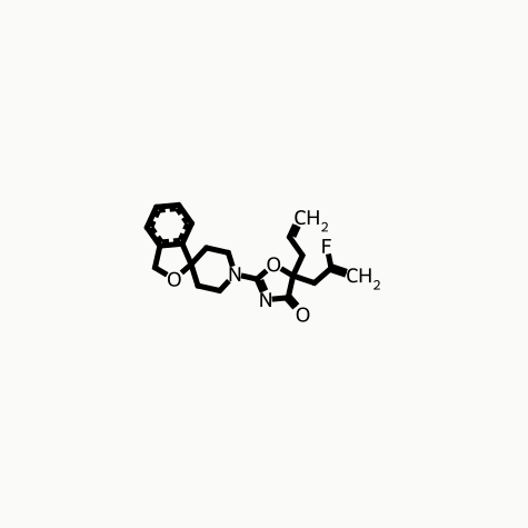 C=CCC1(CC(=C)F)OC(N2CCC3(CC2)OCc2ccccc23)=NC1=O